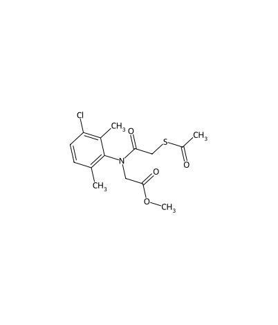 COC(=O)CN(C(=O)CSC(C)=O)c1c(C)ccc(Cl)c1C